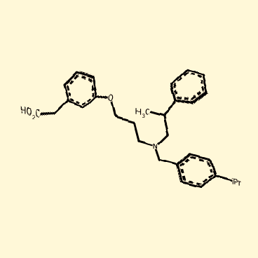 CC(C)c1ccc(CN(CCCOc2cccc(CC(=O)O)c2)CC(C)c2ccccc2)cc1